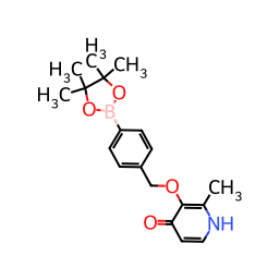 Cc1[nH]ccc(=O)c1OCc1ccc(B2OC(C)(C)C(C)(C)O2)cc1